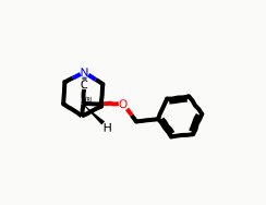 c1ccc(CO[C@H]2CN3CCC2CC3)cc1